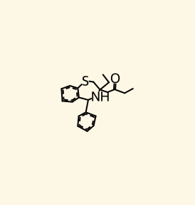 CCC(=O)CC1(CC)CSc2ccccc2C(c2ccccc2)N1